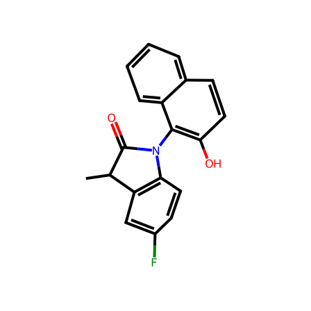 CC1C(=O)N(c2c(O)ccc3ccccc23)c2ccc(F)cc21